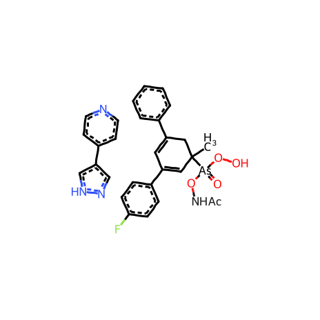 CC(=O)NO[As](=O)(OO)C1(C)C=C(c2ccc(F)cc2)C=C(c2ccccc2)C1.c1cc(-c2cn[nH]c2)ccn1